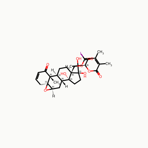 CC1=C(C)C(=O)O[C@@H](C(C)(O)[C@]2(O)CC[C@@]3(O)[C@@H]4C[C@H]5O[C@]56CC=CC(=O)[C@]6(C)[C@H]4CC[C@@]32COC(=O)I)C1